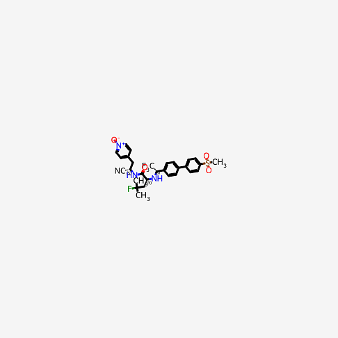 CC(C)(F)C[C@H](N[C@@H](c1ccc(-c2ccc(S(C)(=O)=O)cc2)cc1)C(F)(F)F)C(=O)N[C@H](C#N)Cc1cc[n+]([O-])cc1